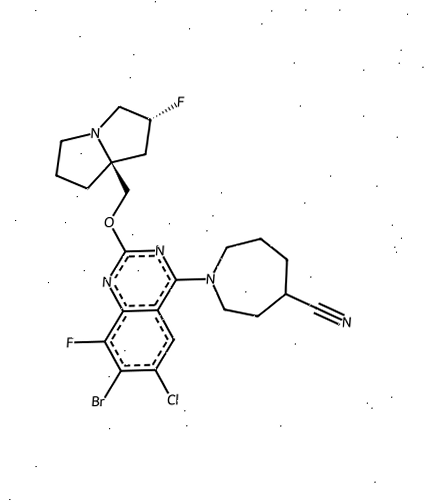 N#CC1CCCN(c2nc(OC[C@@]34CCCN3C[C@H](F)C4)nc3c(F)c(Br)c(Cl)cc23)CC1